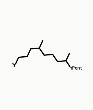 [CH2]C(C)CCCC(C)CCCC(C)CCC[CH]C